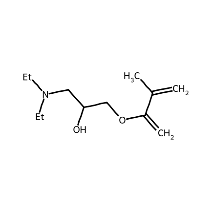 C=C(C)C(=C)OCC(O)CN(CC)CC